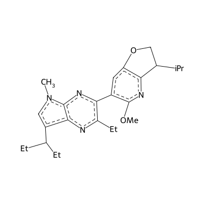 CCc1nc2c(C(CC)CC)cn(C)c2nc1-c1cc2c(nc1OC)C(C(C)C)CO2